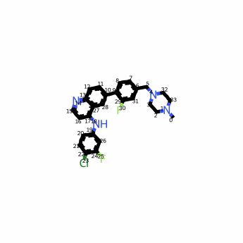 CN1CCN(Cc2ccc(-c3ccc4nccc(Nc5ccc(Cl)c(F)c5)c4c3)c(F)c2)CC1